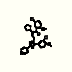 COc1ccc(-c2nc(-c3ccncc3)nn2CCN(C(=O)c2cc(Cl)ccc2OC)C2CCCC2)cc1Cl